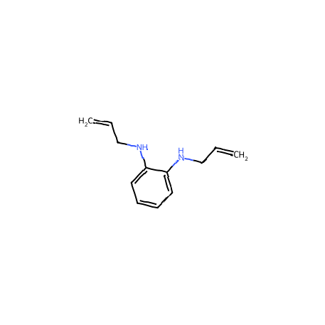 C=CCNc1ccccc1NCC=C